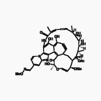 CO/N=C/c1ccn2c(c1)nc1c3c4c(O)c(c12)NC(=O)/C(C)=C\C=C\[C@H](C)[C@H](O)[C@@H](C)[C@@H](O)[C@@H](C)[C@H](OC(C)=O)[C@@H]1CC(C#CC=4O)C=3C(=O)[C@](C)(O)O/C=C/[C@@H]1OC